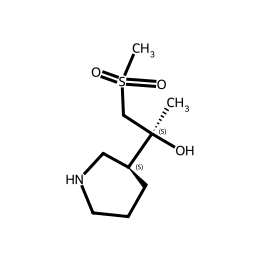 C[C@@](O)(CS(C)(=O)=O)[C@H]1CCCNC1